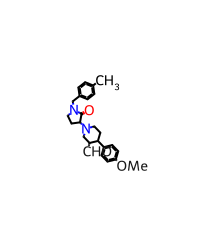 COc1ccc(C2CCN(C3CCN(Cc4ccc(C)cc4)C3=O)CC2C=O)cc1